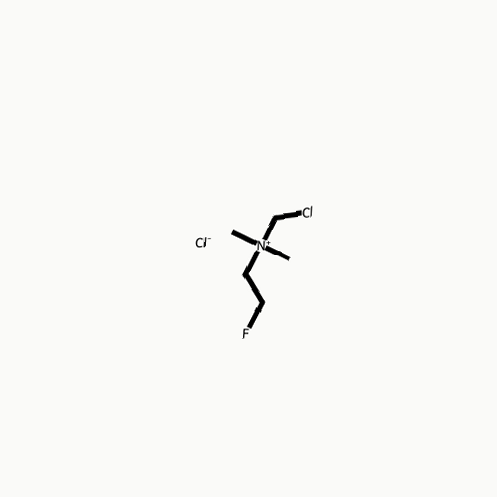 C[N+](C)(CCl)CCF.[Cl-]